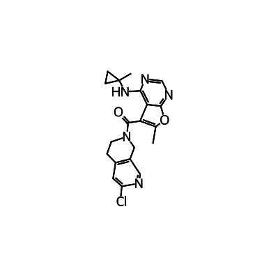 Cc1oc2ncnc(NC3(C)CC3)c2c1C(=O)N1CCc2cc(Cl)ncc2C1